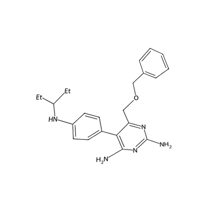 CCC(CC)Nc1ccc(-c2c(N)nc(N)nc2COCc2ccccc2)cc1